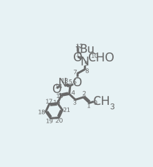 CC=CCc1c(OCCN(C=O)OC(C)(C)C)noc1-c1ccccc1